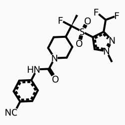 Cn1cc(S(=O)(=O)[C@@](C)(F)C2CCN(C(=O)Nc3ccc(C#N)cc3)CC2)c(C(F)F)n1